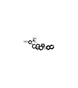 C[C@]12CC=C3C=C4CC[C@H](N5C[C@H](O)C[C@H]5C(=O)O)C[C@]45CCC3(O5)[C@@H]1CC[C@@H]2c1ccc2ccncc2c1